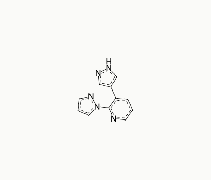 c1cnc(-n2cccn2)c(-c2cn[nH]c2)c1